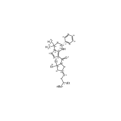 CCCCC(CC)CO[C@@H]1CN(C(=O)c2cnn3c2N[C@@H](c2ccccc2)CC3(C)C)C(CC)(CC)C1